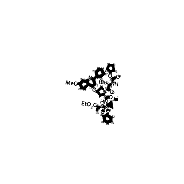 C=C[C@@H]1C[C@]1(NC(=O)[C@@H]1C[C@@H](Oc2cc(-c3ccccc3)nc3cc(OC)ccc23)CN1C(=O)[C@@H](NC(=O)OC1CCCC1)C(C)(C)C)P(=O)(Oc1ccccc1)O[C@@H](C)C(=O)OCC